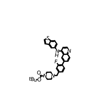 CC(C)(C)OC(=O)N1CCN(Cc2ccc(-c3ccc4nccc(Nc5ccc6sccc6c5)c4c3)c(F)c2)CC1